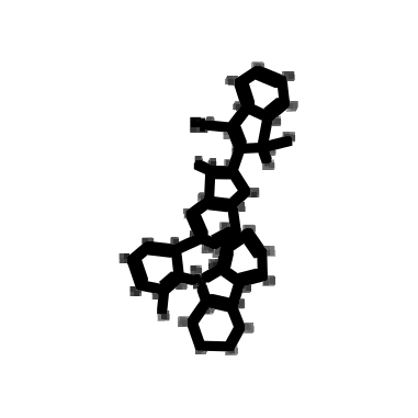 CCC1=C(C2=C(C)c3cc(-c4cccc(C)c4-n4c5c(c6ccccc64)CCCC5)ccc3C2)C(C)(C)c2ccccc21